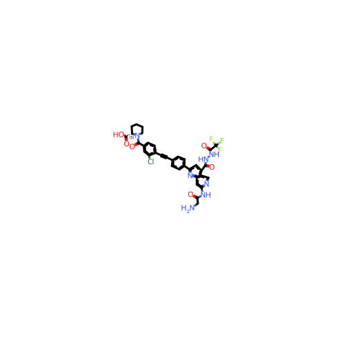 NCC(=O)Nc1cc2nc(-c3ccc(C#Cc4ccc(C(=O)N5CCCC[C@H]5C(=O)O)cc4Cl)cc3)cc(C(=O)NNC(=O)C(F)(F)F)c2cn1